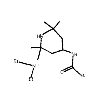 CCC(=O)NC1CC(C)(C)NC(C)(C)C1.CCNCC